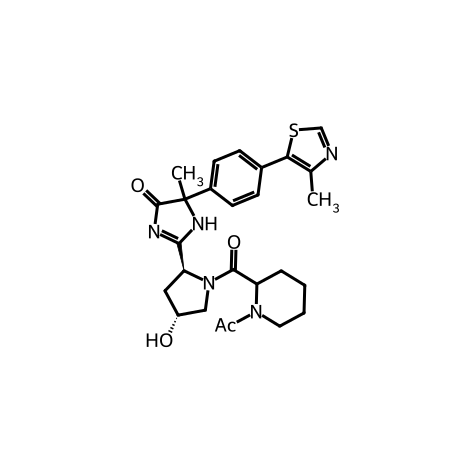 CC(=O)N1CCCCC1C(=O)N1C[C@H](O)C[C@H]1C1=NC(=O)C(C)(c2ccc(-c3scnc3C)cc2)N1